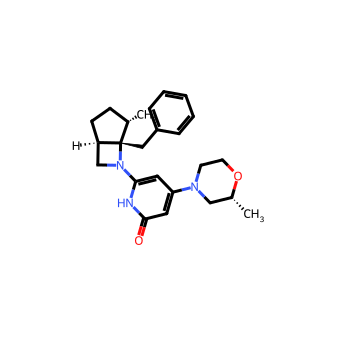 C[C@@H]1CN(c2cc(N3C[C@H]4CC[C@H](C)[C@@]43Cc3ccccc3)[nH]c(=O)c2)CCO1